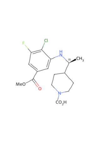 COC(=O)c1cc(F)c(Cl)c(N[C@@H](C)C2CCN(C(=O)O)CC2)c1